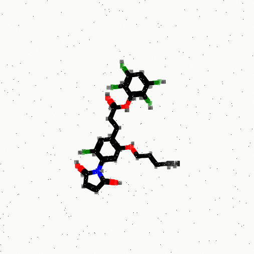 O=C(O)CCCOc1cc(N2C(=O)C=CC2=O)c(F)cc1CCC(=O)Oc1c(F)c(F)cc(F)c1F